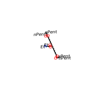 CCCCCC(CCCCC)CC(=O)OCCCCCCCCCCC(CCCCCCCCCCOC(=O)CC(CCCCC)CCCCC)OC(=O)CCCN(CC)CC